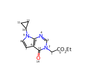 CCOC(=O)Cn1cnc2c(ccn2C2CC2)c1=O